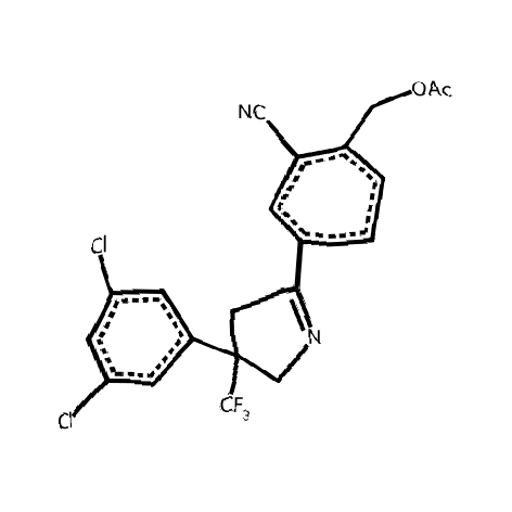 CC(=O)OCc1ccc(C2=NCC(c3cc(Cl)cc(Cl)c3)(C(F)(F)F)C2)cc1C#N